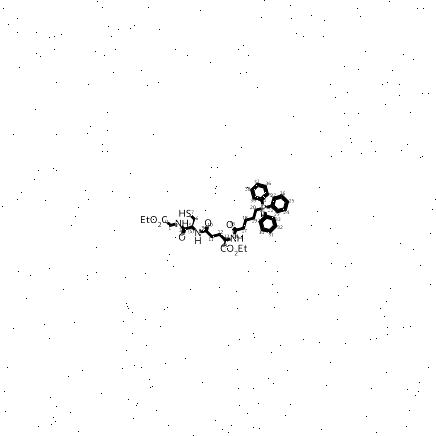 CCOC(=O)CNC(=O)[C@@H](CS)NC(=O)CC[C@@H](NC(=O)CCCC[PH](c1ccccc1)(c1ccccc1)c1ccccc1)C(=O)OCC